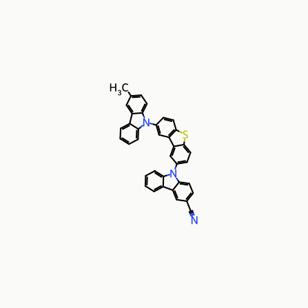 Cc1ccc2c(c1)c1ccccc1n2-c1ccc2sc3ccc(-n4c5ccccc5c5cc(C#N)ccc54)cc3c2c1